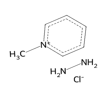 C[n+]1ccccc1.NN.[Cl-]